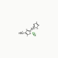 CCCCC1=CC[C]([Zr+2][C]2=CC=CC2)=C1.[Cl-].[Cl-]